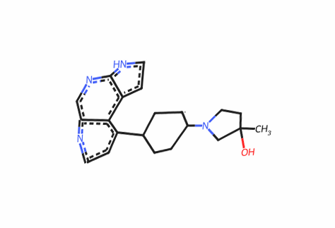 CC1(O)CCN(C2[CH]CC(c3ccnc4cnc5[nH]ccc5c34)CC2)C1